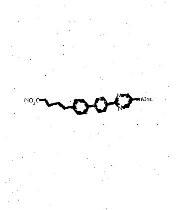 CCCCCCCCCCc1cnc(-c2ccc(-c3ccc(CCCCC(=O)O)cc3)cc2)nc1